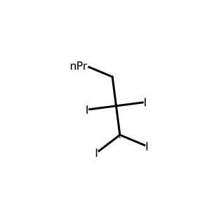 CCCCC(I)(I)[C](I)I